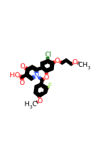 COCCCOc1cc2c(cc1Cl)-c1cc(=O)c(C(=O)O)cn1C(c1ccc(OC)cc1F)O2